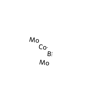 [B].[Co].[Mo].[Mo]